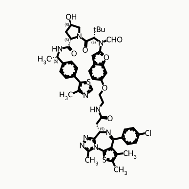 Cc1ncsc1-c1ccc([C@H](C)NC(=O)[C@@H]2C[C@@H](O)CN2C(=O)[C@@H](N(C=O)c2cc3ccc(OCCNC(=O)C[C@@H]4N=C(c5ccc(Cl)cc5)c5c(sc(C)c5C)-n5c(C)nnc54)cc3o2)C(C)(C)C)cc1